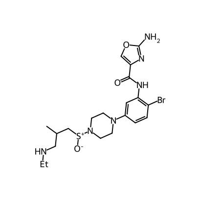 CCNCC(C)C[S+]([O-])N1CCN(c2ccc(Br)c(NC(=O)c3coc(N)n3)c2)CC1